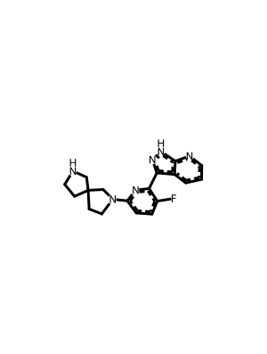 Fc1ccc(N2CCC3(CCNC3)C2)nc1-c1n[nH]c2ncccc12